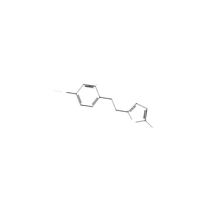 CCc1ccc(CCc2ccc(OC)cc2)s1